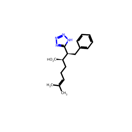 CC(C)=CCC[C@@H](C(=O)O)[C@H](Cc1ccccc1)c1nnn[nH]1